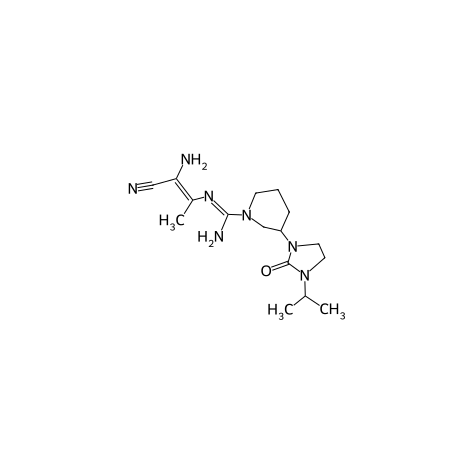 CC(/N=C(\N)N1CCCC(N2CCN(C(C)C)C2=O)C1)=C(/N)C#N